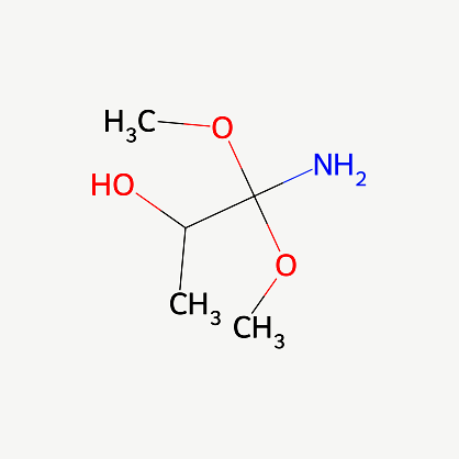 COC(N)(OC)C(C)O